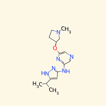 CC(C)c1cc(Nc2cncc(O[C@H]3CCN(C)C3)n2)n[nH]1